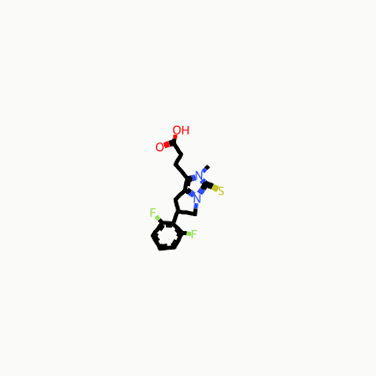 Cn1c(CCC(=O)O)c2n(c1=S)CC(c1c(F)cccc1F)C2